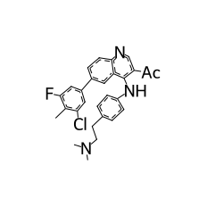 CC(=O)c1cnc2ccc(-c3cc(F)c(C)c(Cl)c3)cc2c1Nc1ccc(CCN(C)C)cc1